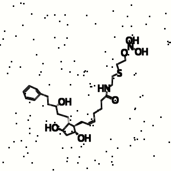 O=C(CCC/C=C\C[C@@H]1[C@@H](CC[C@@H](O)CCc2ccccc2)[C@H](O)C[C@@H]1O)NCCSCCON(O)O